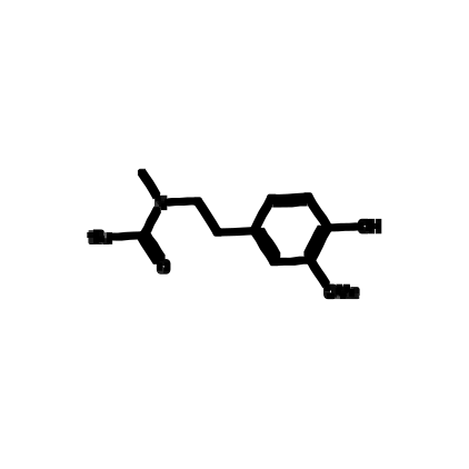 COc1cc(CCN(C)C(=O)C(C)(C)C)ccc1O